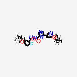 [2H]C([2H])([2H])COc1ccc(-c2cncc(C(=O)NOCc3cc(OC([2H])([2H])[2H])ccc3F)n2)cn1